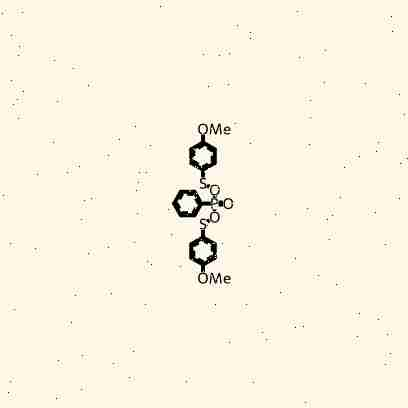 COc1ccc(SOP(=O)(OSc2ccc(OC)cc2)c2ccccc2)cc1